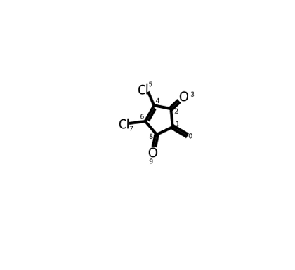 C=C1C(=O)C(Cl)=C(Cl)C1=O